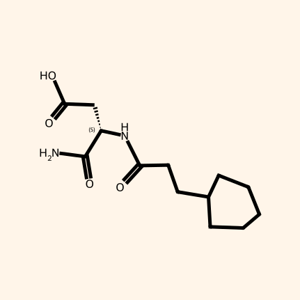 NC(=O)[C@H](CC(=O)O)NC(=O)CCC1CCCCC1